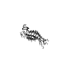 NC(N)C(N)(N)C(N)(N)C(N)(N)C(N)(N)C(N)(N)C(N)(N)C(N)(N)Nc1ccc(CBr)cc1